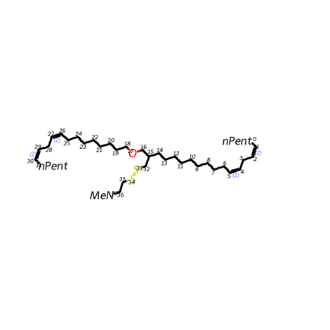 CCCCC/C=C\C/C=C\CCCCCCCCCC(COCCCCCCCC/C=C\C/C=C\CCCCC)CSSCCNC